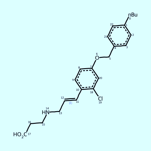 CCCCc1ccc(COc2ccc(/C=C/CNCCC(=O)O)c(Cl)c2)cc1